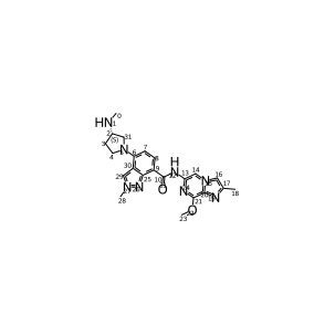 CN[C@H]1CCN(c2ccc(C(=O)Nc3cn4cc(C)nc4c(OC)n3)c3nn(C)cc23)C1